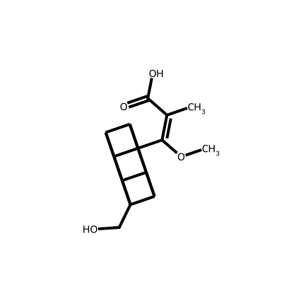 COC(=C(C)C(=O)O)C12C3C4C1C1C2C3C41CO